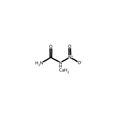 NC(=O)N[N+](=O)[O-].[CaH2]